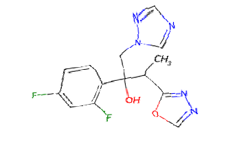 CC(c1nnco1)C(O)(Cn1cncn1)c1ccc(F)cc1F